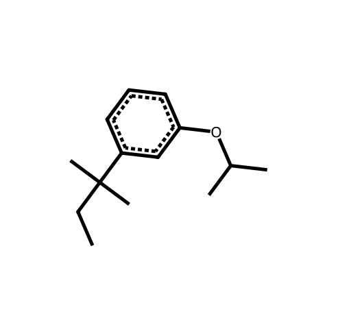 CCC(C)(C)c1cccc(OC(C)C)c1